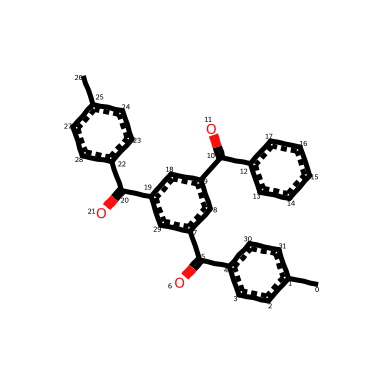 Cc1ccc(C(=O)c2cc(C(=O)c3ccccc3)cc(C(=O)c3ccc(C)cc3)c2)cc1